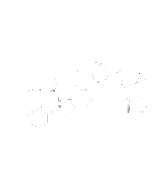 CNC(=O)c1c(-c2ccc(F)cc2)oc2ccc(-c3cc(C(=O)NC4(c5ccccn5)CC4)ccc3C)nc12